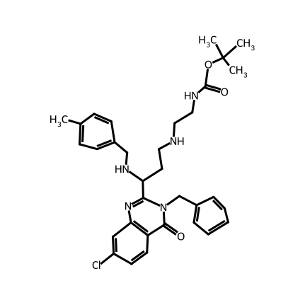 Cc1ccc(CNC(CCNCCNC(=O)OC(C)(C)C)c2nc3cc(Cl)ccc3c(=O)n2Cc2ccccc2)cc1